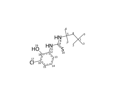 CC(C)(C)CC(C)(C)NC(=S)Nc1cccc(Cl)c1O